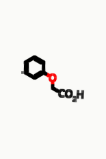 O=C(O)COc1c[c]ccc1